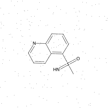 CS(=N)(=O)c1cccc2ncccc12